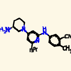 CCCc1cc(N2CCC[C@@H](N)C2)cc(Nc2ccc(C)c(C#N)c2)n1